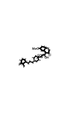 COc1ccc2ncc(Cl)c([C@H](O)CCC3(C(=O)O)CCN(CCCc4cccc(F)c4F)CC3)c2c1